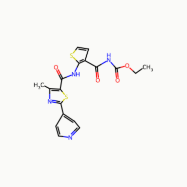 CCOC(=O)NC(=O)c1ccsc1NC(=O)c1sc(-c2ccncc2)nc1C